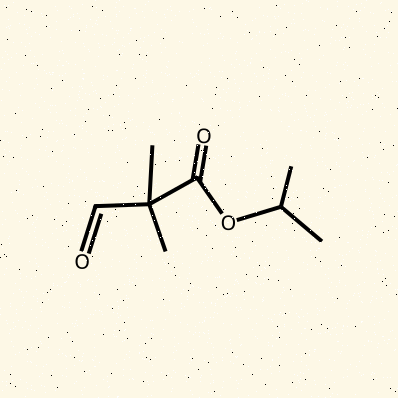 CC(C)OC(=O)C(C)(C)C=O